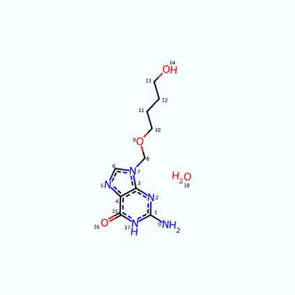 Nc1nc2c(ncn2COCCCCO)c(=O)[nH]1.O